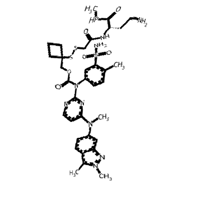 CPC(=O)[C@H](CCN)NC(=O)CSSC1(COC(=O)N(c2ccc(C)c(S(N)(=O)=O)c2)c2nccc(N(C)c3ccc4c(C)n(C)nc4c3)n2)CCC1